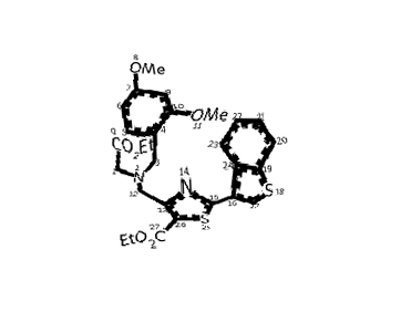 CCOC(=O)CN(Cc1ccc(OC)cc1OC)Cc1nc(-c2csc3ccccc23)sc1C(=O)OCC